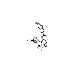 CO[C@@H]1[C@H](OC(=O)N2CC3CN(C)CC3C2)CC[C@]2(CO2)[C@H]1[C@@]1(C)O[C@@H]1CC=C(C)C